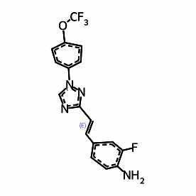 Nc1ccc(/C=C/c2ncn(-c3ccc(OC(F)(F)F)cc3)n2)cc1F